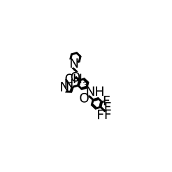 Cn1nccc1-c1cc(NC(=O)c2ccc(C(F)(F)F)c(F)c2)ccc1OCCN1CCCCC1